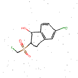 O=S(=O)(CF)C1Cc2cc(Cl)ccc2C1O